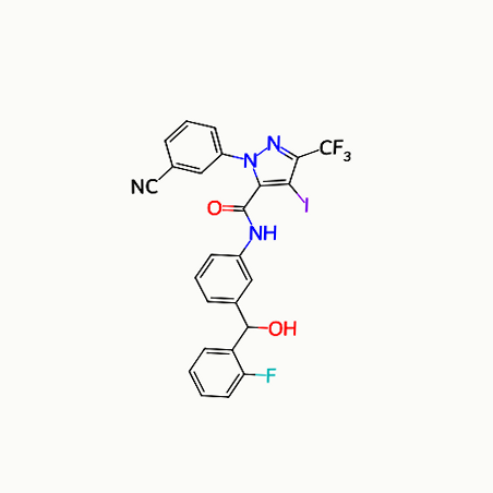 N#Cc1cccc(-n2nc(C(F)(F)F)c(I)c2C(=O)Nc2cccc(C(O)c3ccccc3F)c2)c1